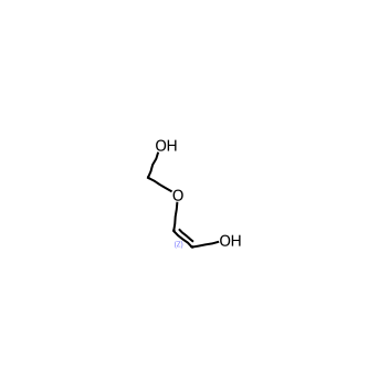 O/C=C\OCO